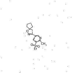 CCS(=O)(=O)c1cc(C2=NOC3(CCCC3)C2)cnc1C